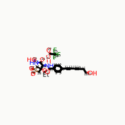 CCOC1(C(NC(=O)c2ccc(C#CC#CCCO)cc2)C(=O)NO)CS(=O)(=O)C1.O=C(O)C(F)(F)F